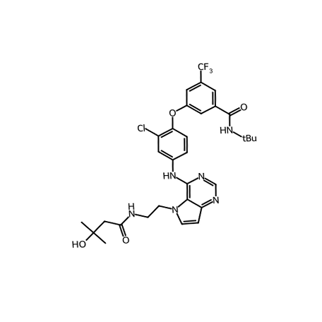 CC(C)(O)CC(=O)NCCn1ccc2ncnc(Nc3ccc(Oc4cc(C(=O)NC(C)(C)C)cc(C(F)(F)F)c4)c(Cl)c3)c21